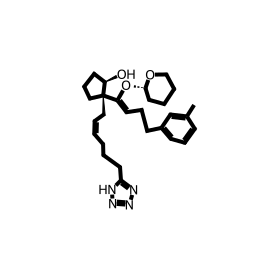 Cc1cccc(CCC=C(O[C@H]2CCCCO2)[C@]2(C/C=C\CCCc3nnn[nH]3)CCC[C@H]2O)c1